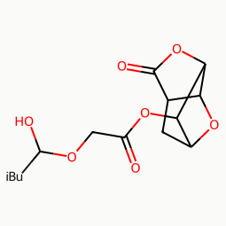 CCC(C)C(O)OCC(=O)OC1C2CC3C(=O)OC1C3O2